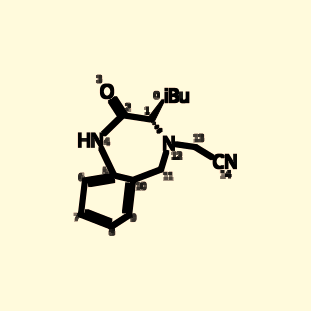 CC[C@H](C)[C@H]1C(=O)Nc2ccccc2CN1CC#N